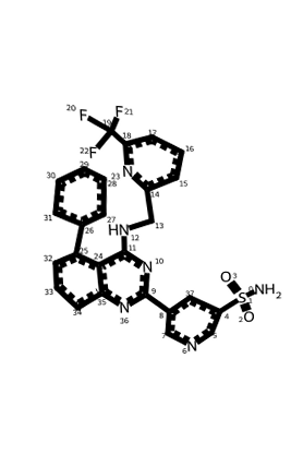 NS(=O)(=O)c1cncc(-c2nc(NCc3cccc(C(F)(F)F)n3)c3c(-c4ccccc4)cccc3n2)c1